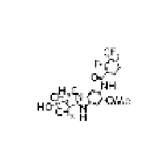 COc1cc2c(cc1NC(=O)c1cccc(C(F)(F)F)c1F)N(C)C(CCC(C)(C)O)N2